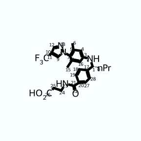 CCC[C@@H](Nc1cc(C)c(-n2cc(C(F)(F)F)cn2)c(C)c1)c1ccc(C(=O)NCCC(=O)O)cc1